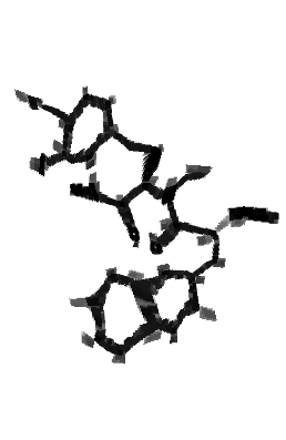 CNC(=O)[C@@H](Cc1ccc(F)c(F)c1)N(C)C(=O)[C@@H](Cc1ccc2ccccc2c1)NC